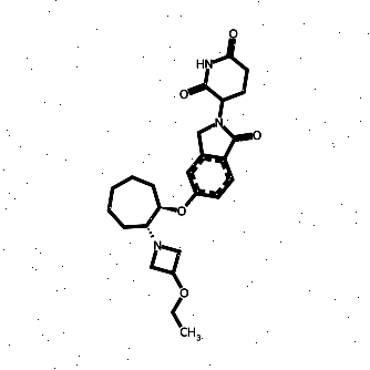 CCOC1CN([C@@H]2CCCCC[C@H]2Oc2ccc3c(c2)CN(C2CCC(=O)NC2=O)C3=O)C1